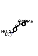 CCO/C(=C/c1ccc(OCC(=NOC)c2cccc(OC)c2)cc1)C(=O)O